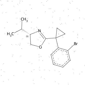 CC(C)[C@H]1COC(C2(c3ccccc3Br)CC2)=N1